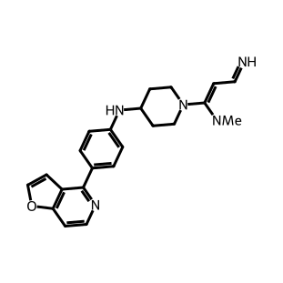 CN/C(=C\C=N)N1CCC(Nc2ccc(-c3nccc4occc34)cc2)CC1